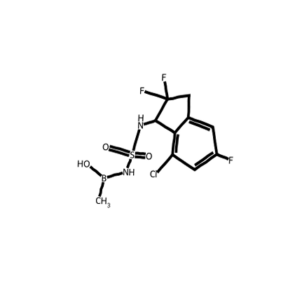 CB(O)NS(=O)(=O)NC1c2c(Cl)cc(F)cc2CC1(F)F